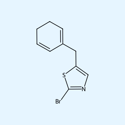 Brc1ncc(CC2=CCCC=C2)s1